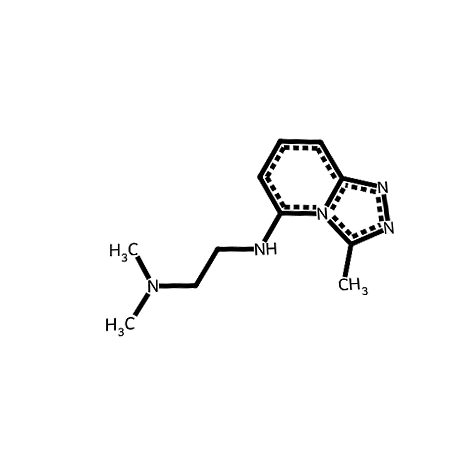 Cc1nnc2cccc(NCCN(C)C)n12